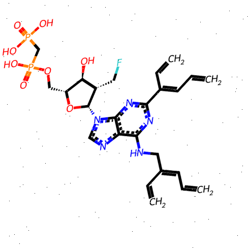 C=C/C=C(\C=C)CNc1nc(/C(C=C)=C/C=C)nc2c1ncn2[C@@H]1O[C@H](COP(=O)(O)CP(=O)(O)O)[C@@H](O)[C@@H]1CF